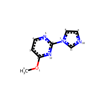 COc1ccnc(-n2ccnc2)n1